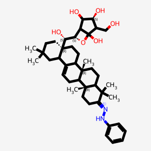 CC1(C)CC[C@]2([C@H](O)[C@H]3OC4(O)C(CO)[C@H](O)C(O)C34)CCC3C(=CCC4[C@@]3(C)CCC3C(C)(C)/C(=N/Nc5ccccc5)CC[C@@]34C)C2C1